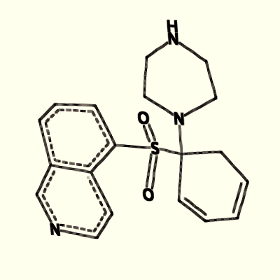 O=S(=O)(c1cccc2cnccc12)C1(N2CCNCC2)C=CC=CC1